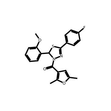 COc1ccccc1C1SC(c2ccc(F)cc2)=NN1C(=O)c1cc(C)oc1C